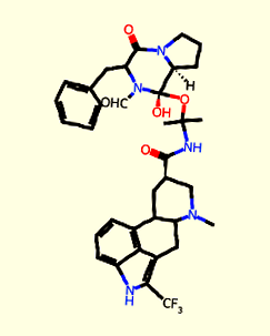 CN1C[C@H](C(=O)NC(C)(C)O[C@@]2(O)[C@@H]3CCCN3C(=O)C(Cc3ccccc3)N2C=O)CC2c3cccc4[nH]c(C(F)(F)F)c(c34)CC21